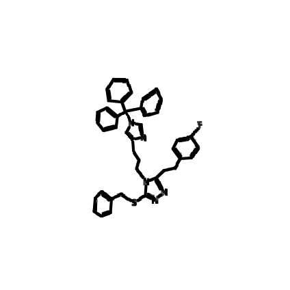 Fc1ccc(CCc2nnc(SCc3ccccc3)n2CCCc2cn(C(c3ccccc3)(c3ccccc3)c3ccccc3)cn2)cc1